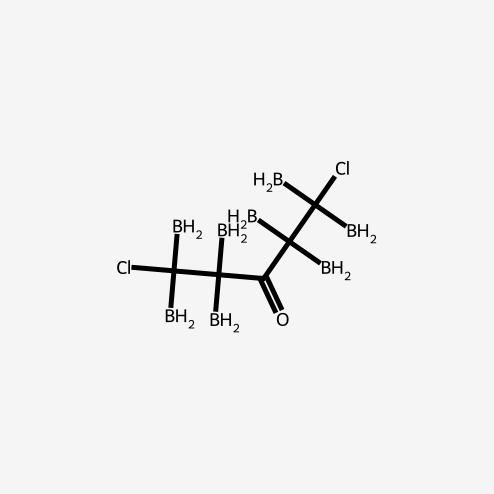 BC(B)(Cl)C(B)(B)C(=O)C(B)(B)C(B)(B)Cl